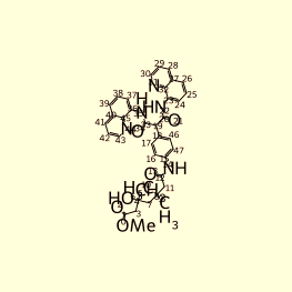 COC(=O)CC(C)(O)CC(C)(C)CC(=O)Nc1ccc(C(C(=O)Nc2cccc3cccnc23)C(=O)Nc2cccc3cccnc23)cc1